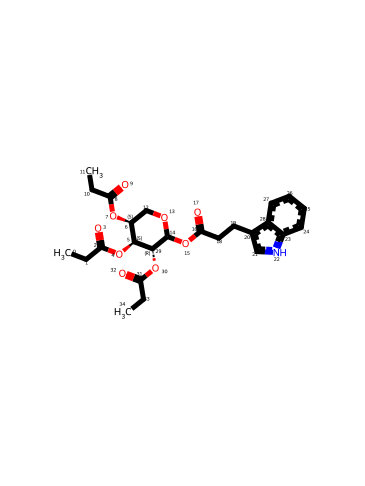 CCC(=O)O[C@H]1[C@@H](OC(=O)CC)COC(OC(=O)CCc2c[nH]c3ccccc23)[C@@H]1OC(=O)CC